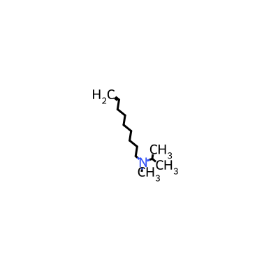 C=CCCCCCCCN(C)C(C)C